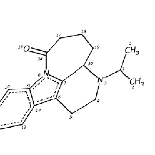 CC(C)N1CCc2c3n(c4ccccc24)C(=O)CCCC31